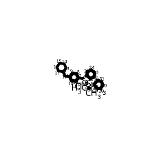 CC(C)(C)[Si](OCc1ccc(CC2CCCCC2)cc1Cl)(c1ccccc1)c1ccccc1